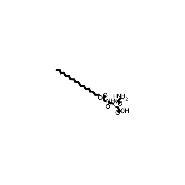 CCCCCCCCCCCCCCCCCCOC(=O)CNC(=O)[C@@H](CCC(=O)O)NC(=O)[C@H](C)N